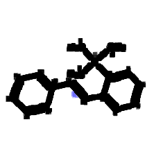 CO[Si](OC)(OC)c1ccccc1/C=C/c1ccccc1